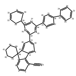 N#Cc1cccc2c1-c1ccc(-c3nc(-c4ccc(-c5ccccc5)cc4)nc(C4C=CC=CC4)n3)cc1C21CCCCC1